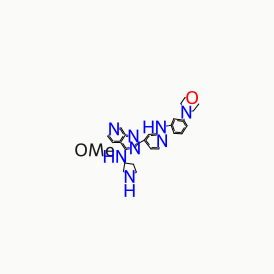 COc1cncc2nc(-c3ccnc(Nc4cccc(N5CCOCC5)c4)c3)nc(NC3CCNC3)c12